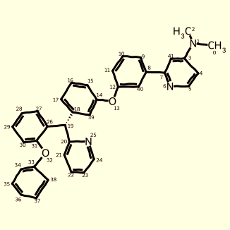 CN(C)c1ccnc(-c2cccc(Oc3cccc([C@H](c4ccccn4)c4ccccc4Oc4ccccc4)c3)c2)c1